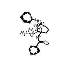 COC1CCC2CCC1(NC(=O)c1ccccc1)[N+]2(C)S(=O)(=O)Nc1ccccc1